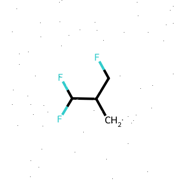 [CH2]C(CF)C(F)F